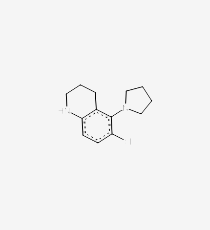 Clc1ccc2c(c1N1CCCC1)CCCN2